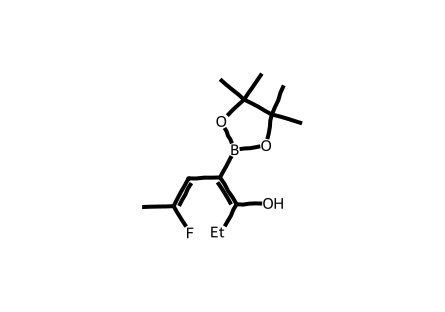 CC/C(O)=C(\C=C(C)F)B1OC(C)(C)C(C)(C)O1